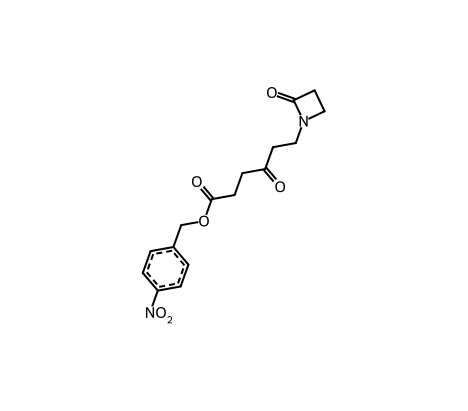 O=C(CCC(=O)OCc1ccc([N+](=O)[O-])cc1)CCN1CCC1=O